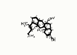 CCC[C@@H](C)[C@H]1CCC2CC3C(C[C@@]21C)[C@@]1(C)CC[C@@H](O)CC1C[C@H]3O